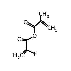 C=C(C)C(=O)OC(=O)C(=C)F